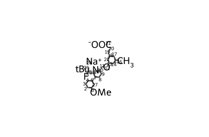 COc1ccc(F)c(-c2ccc(COc3cc(C)cc(CCC(=O)[O-])c3)nc2CC(C)(C)C)c1.[Na+]